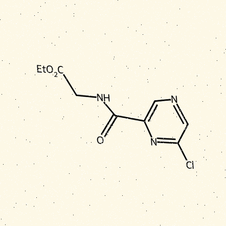 CCOC(=O)CNC(=O)c1cncc(Cl)n1